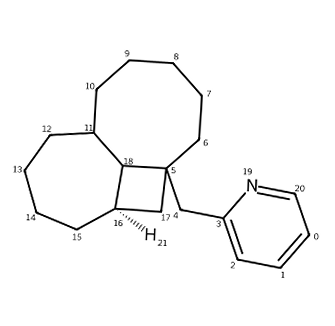 c1ccc(CC23CCCCCC4CCCC[C@H](C2)C43)nc1